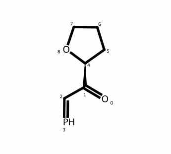 O=C(C=P)[C@@H]1CCCO1